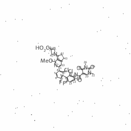 COc1nc(-c2ccc(F)c(-c3c(F)ccc(NC(=O)c4cn(C)c(=O)n(C)c4=O)c3Cl)c2Cl)cc2c1[C@H](N1CC(C(=O)O)C1)CC2